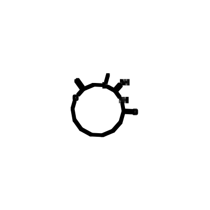 C=C1CN(C)C(=N)NC(=O)CCCCCCCO1